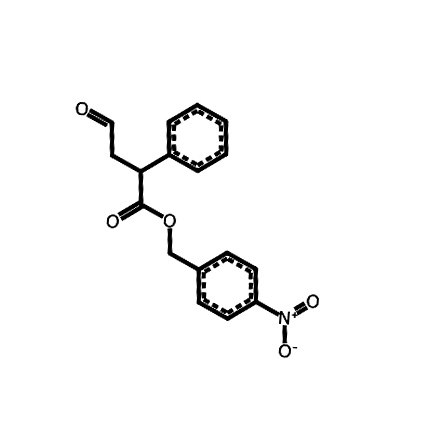 O=CCC(C(=O)OCc1ccc([N+](=O)[O-])cc1)c1ccccc1